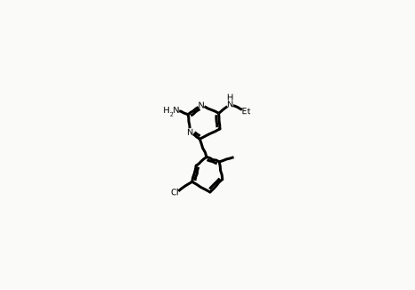 CCNc1cc(-c2cc(Cl)ccc2C)nc(N)n1